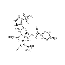 CC(O)[C@H]1C(=O)N2C(C(=O)O)=C(c3cn4cnc(S(C)(=O)=O)c4s3)[C@](C)(CCOC(=O)c3ccc(C(C)(C)C)cc3)[C@@H]12